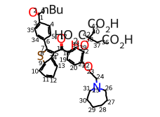 CCCCC(=O)c1ccc(-c2sc3ccccc3c2C(=O)c2ccc(OCCN3CCCCCC3)cc2)cc1.O=C(O)CC(O)(CC(=O)O)C(=O)O